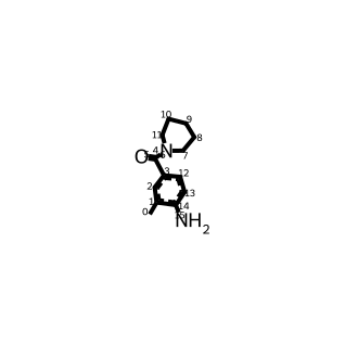 Cc1cc(C(=O)N2CCCCC2)ccc1N